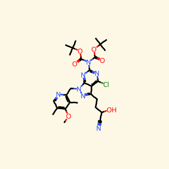 COc1c(C)cnc(Cn2nc(CCC(O)C#N)c3c(Cl)nc(N(C(=O)OC(C)(C)C)C(=O)OC(C)(C)C)nc32)c1C